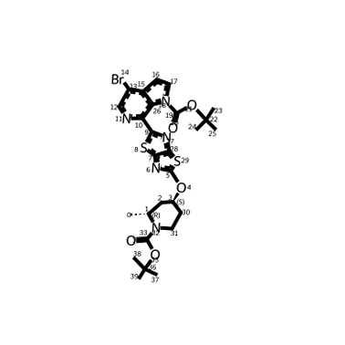 C[C@@H]1C[C@@H](Oc2nc3sc(-c4ncc(Br)c5ccn(C(=O)OC(C)(C)C)c45)nc3s2)CCN1C(=O)OC(C)(C)C